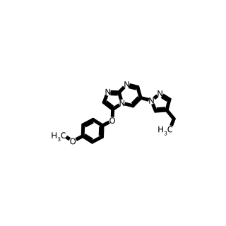 CCc1cnn(-c2cnc3ncc(Oc4ccc(OC)cc4)n3c2)c1